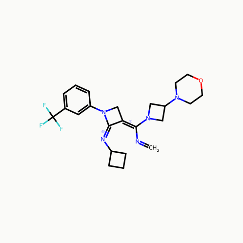 C=N/C(=C1/CN(c2cccc(C(F)(F)F)c2)/C1=N/C1CCC1)N1CC(N2CCOCC2)C1